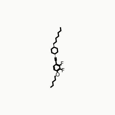 CCCCCCC[C@H]1CC[C@H](C#Cc2ccc(OCCCCC)c(F)c2F)CC1